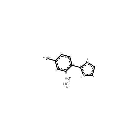 [B+2]c1ccc(-c2nccs2)cc1.[OH-].[OH-]